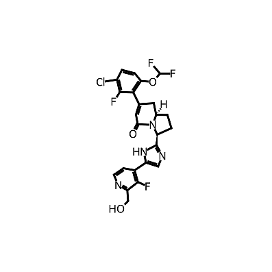 O=C1C=C(c2c(OC(F)F)ccc(Cl)c2F)C[C@H]2CC[C@@H](c3ncc(-c4ccnc(CO)c4F)[nH]3)N12